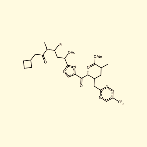 COC(=O)C(C)CC(Cc1ncc(C(F)(F)F)cn1)NC(=O)c1csc(C(CC(C(C)C)N(C)C(=O)CC2CCC2)OC(C)=O)n1